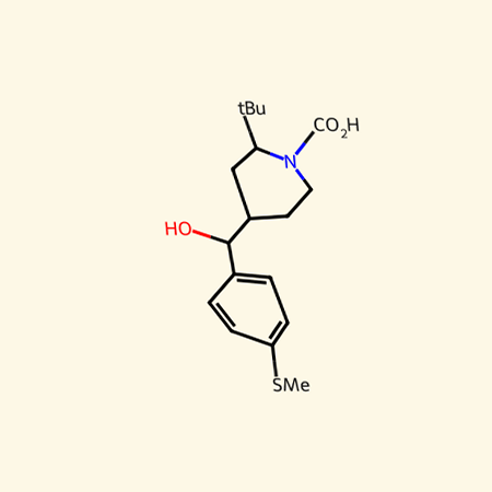 CSc1ccc(C(O)C2CCN(C(=O)O)C(C(C)(C)C)C2)cc1